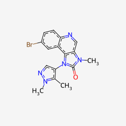 Cc1c(-n2c(=O)n(C)c3cnc4ccc(Br)cc4c32)cnn1C